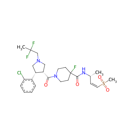 C[C@H](/C=C\S(C)(=O)=O)NC(=O)C1(F)CCN(C(=O)[C@H]2CN(CC(C)(F)F)C[C@H]2c2ccccc2Cl)CC1